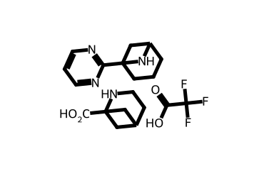 O=C(O)C(F)(F)F.O=C(O)C12CC(CCN1)C2.c1cnc(C23CCCC(C2)N3)nc1